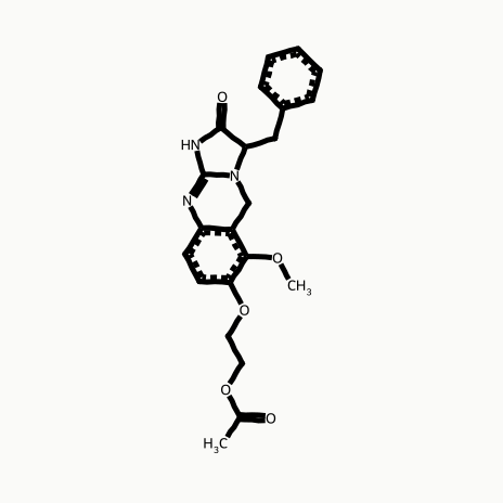 COc1c(OCCOC(C)=O)ccc2c1CN1C(=N2)NC(=O)C1Cc1ccccc1